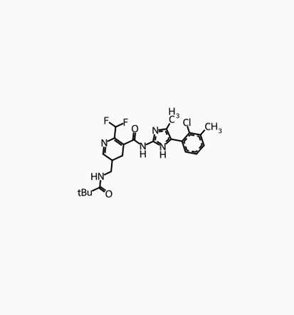 Cc1cccc(-c2[nH]c(NC(=O)C3=C(C(F)F)N=CC(CNC(=O)C(C)(C)C)C3)nc2C)c1Cl